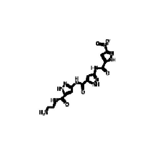 NCCNC(=O)c1cc(NC(=O)c2cc(NC(=O)c3cc([N+](=O)[O-])n[nH]3)n[nH]2)n[nH]1